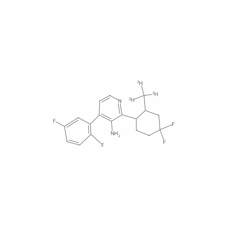 [2H]C([2H])([2H])C1CC(F)(F)CCC1c1nccc(-c2cc(F)ccc2F)c1N